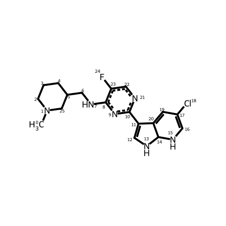 CN1CCCC(CNc2nc(C3=CNC4NC=C(Cl)C=C34)ncc2F)C1